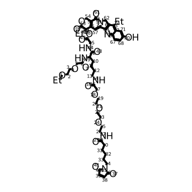 CCOCCOCC(=O)NC(CCCCNC(=O)COCCOCCOCCNC(=O)CCCCCN1C(=O)C=CC1=O)C(=O)NCC(=O)O[C@]1(CC)C(=O)OCc2c1cc1n(c2=O)Cc2c-1nc1ccc(O)cc1c2CC